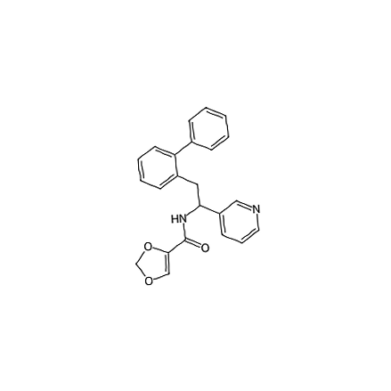 O=C(NC(Cc1ccccc1-c1ccccc1)c1cccnc1)C1=COCO1